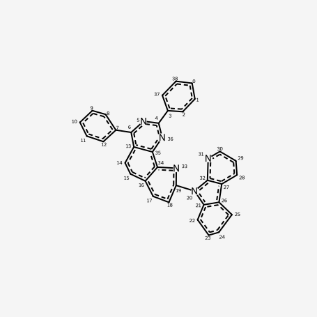 c1ccc(-c2nc(-c3ccccc3)c3ccc4ccc(-n5c6ccccc6c6cccnc65)nc4c3n2)cc1